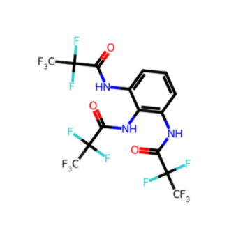 O=C(Nc1cccc(NC(=O)C(F)(F)C(F)(F)F)c1NC(=O)C(F)(F)C(F)(F)F)C(F)(F)C(F)(F)F